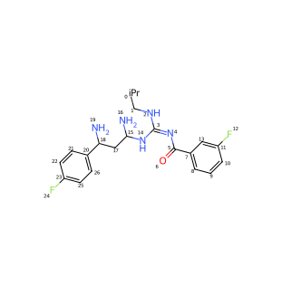 CC(C)CN/C(=N/C(=O)c1cccc(F)c1)NC(N)CC(N)c1ccc(F)cc1